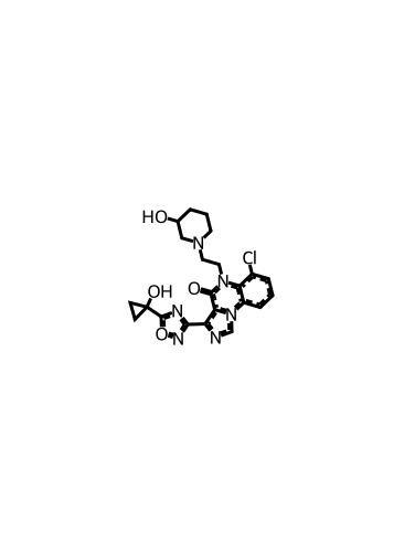 O=c1c2c(-c3noc(C4(O)CC4)n3)ncn2c2cccc(Cl)c2n1CCN1CCCC(O)C1